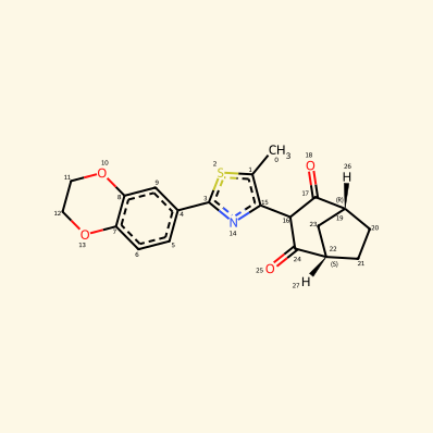 Cc1sc(-c2ccc3c(c2)OCCO3)nc1C1C(=O)[C@@H]2CC[C@@H](C2)C1=O